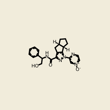 O=C(NC(CO)c1ccccc1)c1nn(-c2c[n+]([O-])ccn2)c2c1C[C@@H]1CCC[C@H]21